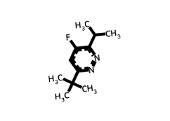 CC(C)c1nnc(C(C)(C)C)cc1F